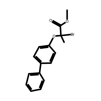 COC(=O)C(C)(Br)Oc1ccc(-c2ccccc2)cc1